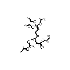 CCOC(=O)C[C@H](NCCC[Si](OCC)(OCC)OCC)C(=O)OCC